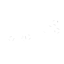 Cc1c(CCCC2CCCN(CCC(C(=O)c3ccccc3)c3ccccc3)C2)ccc2[nH]c(COc3ccc(Cl)cc3)nc12